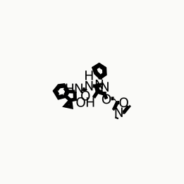 Cc1c(OC[C@H]2CN(C)CCO2)nn(-c2ccccc2)c1NC(=O)NC1c2ccccc2C2(CC2)[C@@H]1O